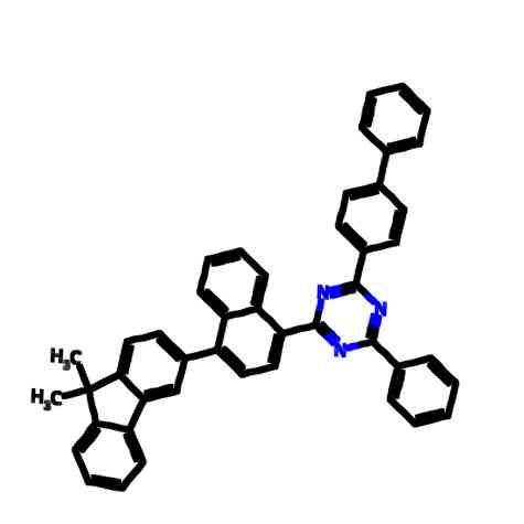 CC1(C)c2ccccc2-c2cc(-c3ccc(-c4nc(-c5ccccc5)nc(-c5ccc(-c6ccccc6)cc5)n4)c4ccccc34)ccc21